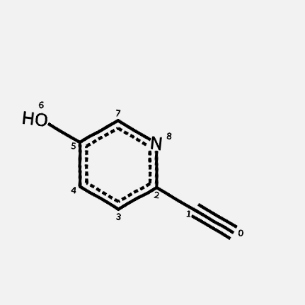 C#Cc1ccc(O)cn1